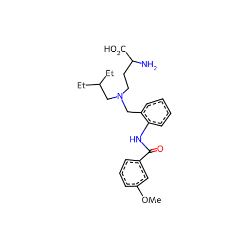 CCC(CC)CN(CCC(N)C(=O)O)Cc1ccccc1NC(=O)c1cccc(OC)c1